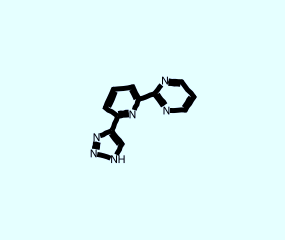 c1cnc(-c2cccc(-c3c[nH]nn3)n2)nc1